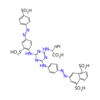 CCCC(Nc1nc(Nc2ccc(N=Nc3cc(S(=O)(=O)O)c4cccc(S(=O)(=O)O)c4c3)cc2)nc(Nc2ccc(N=Nc3ccc(S(=O)(=O)O)cc3)cc2S(=O)(=O)O)n1)C(=O)O